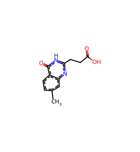 Cc1ccc2c(=O)[nH]c(CCC(=O)O)nc2c1